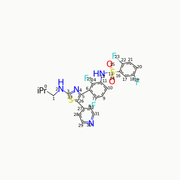 CC(C)CNc1nc(-c2c(F)ccc(NS(=O)(=O)c3cc(F)ccc3F)c2F)c(-c2ccncc2)s1